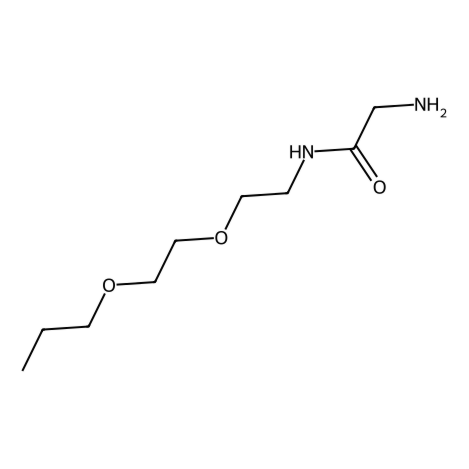 CCCOCCOCCNC(=O)CN